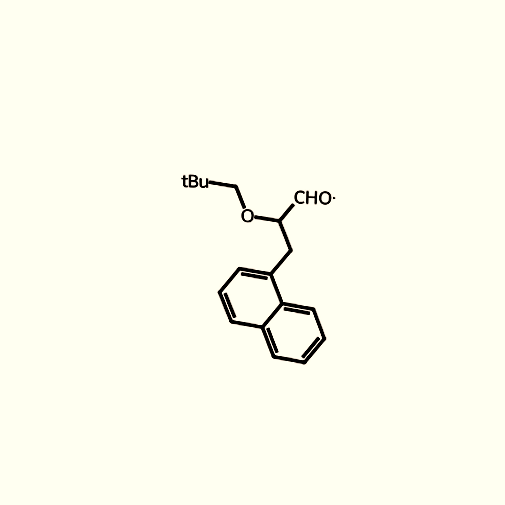 CC(C)(C)COC([C]=O)Cc1cccc2ccccc12